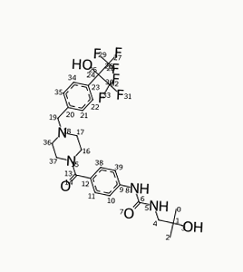 CC(C)(O)CNC(=O)Nc1ccc(C(=O)N2CCN(Cc3ccc(C(O)(C(F)(F)F)C(F)(F)F)cc3)CC2)cc1